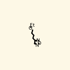 CCOCCCCc1cnon1